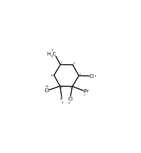 CC1CC(Cl)C(Cl)(C(C)C)C(F)(Cl)C1